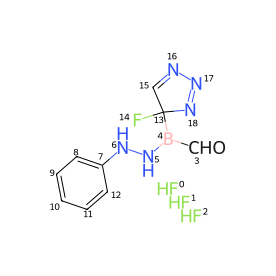 F.F.F.O=CB(NNc1ccccc1)C1(F)C=NN=N1